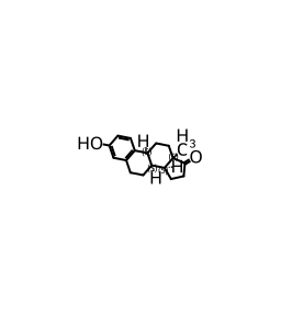 C[C@]12CC[C@@H]3c4ccc(O)cc4CC[C@@H]3[C@@H]1CCC2=O